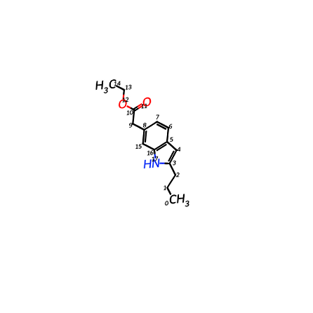 CCCc1cc2ccc(CC(=O)OCC)cc2[nH]1